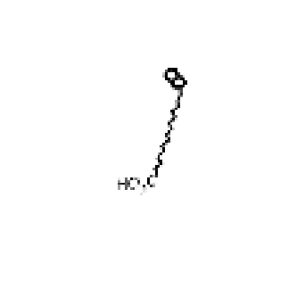 O=C(O)CCCCCCCCCCCCCCCc1ccc2ccccc2c1